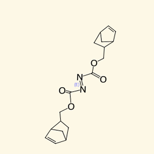 O=C(/N=N/C(=O)OCC1CC2C=CC1C2)OCC1CC2C=CC1C2